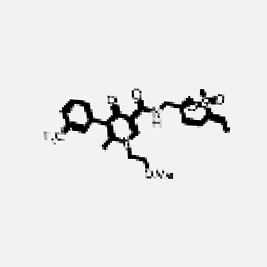 C=C(/C=C\C(=C/C)S(C)(=O)=O)CNC(=O)c1cn(CCOC)c(C)c(-c2cccc(C(F)(F)F)c2)c1=O